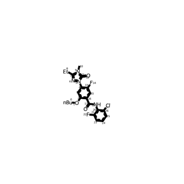 CCCCOc1cc(-n2nc(CC)n(C)c2=O)c(F)cc1C(=O)Nc1c(F)cccc1Cl